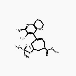 Cc1c(N)nc2c(c1C1=CCN(C(=O)OC(C)(C)C)CC(O[Si](C)(C)C(C)(C)C)C1)OCCO2